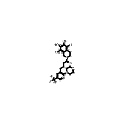 O=C(CCCc1cc(C(F)(F)F)cnc1N1CCOCC1)N1CCc2c(Cl)c(O)c(O)c(Cl)c2C1